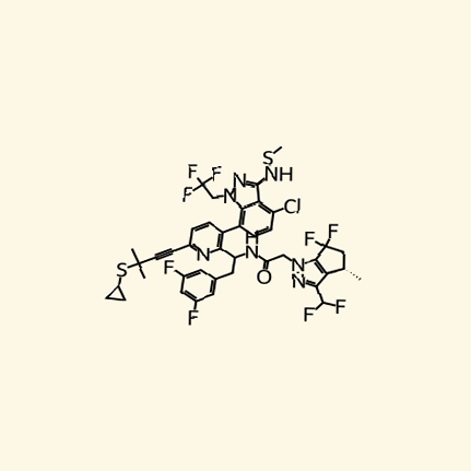 CSNc1nn(CC(F)(F)F)c2c(-c3ccc(C#CC(C)(C)SC4CC4)nc3C(Cc3cc(F)cc(F)c3)NC(=O)Cn3nc(C(F)F)c4c3C(F)(F)C[C@@H]4C)ccc(Cl)c12